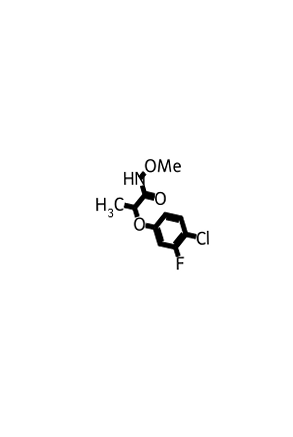 CONC(=O)C(C)Oc1ccc(Cl)c(F)c1